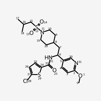 COc1ccc(C(CC2CCN(S(=O)(=O)CC(C)C)CC2)NC(=O)c2ccc(Cl)s2)cn1